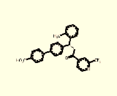 Cc1ccccc1[C@H](CC(=O)c1ccnc(C(F)(F)F)c1)c1ccc(-c2ccc(C(=O)O)cc2)cc1